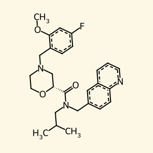 COc1cc(F)ccc1CN1CCO[C@@H](C(=O)N(Cc2ccc3ncccc3c2)CC(C)C)C1